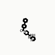 O=C(c1ccc(-c2ccccc2)cc1)N1CCC(c2nc3ncccc3[nH]2)CC1